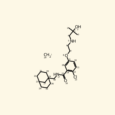 CC(C)(O)CNCCOc1ccc(Cl)c(C(=O)NCC23CCCC(CCC2)C3)c1.[CH2]